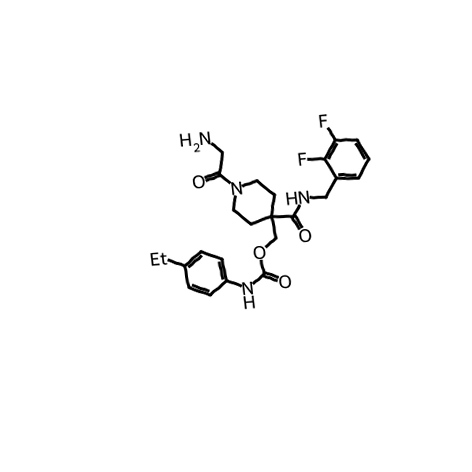 CCc1ccc(NC(=O)OCC2(C(=O)NCc3cccc(F)c3F)CCN(C(=O)CN)CC2)cc1